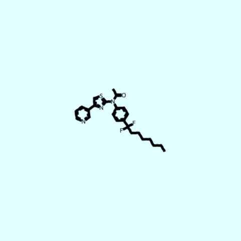 CCCCCCCC(F)(F)c1ccc(N(C(C)=O)c2nc(-c3cccnc3)cs2)cc1